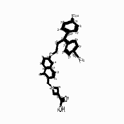 CC1=C(CN2CC(C(=O)O)C2)CCc2cc(OCCC(c3ccc(F)cc3)c3ccc(F)cc3)ccc21